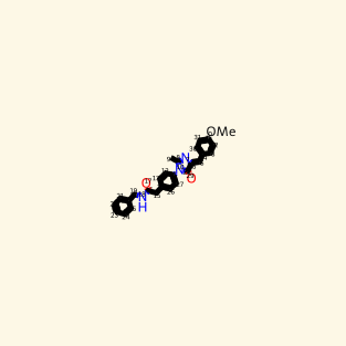 COc1ccc(/C=C2\N=C(C)N(c3ccc(CC(=O)NCc4cc#ccc4)cc3)C2=O)cc1